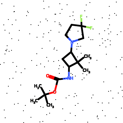 CC(C)(C)OC(=O)NC1CC(N2CCC(F)(F)C2)C1(C)C